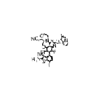 C[C@H]1CN2CCC[C@@]2(COc2nc3c4c(c(Cl)c(-c5ccc(F)c6sc(N)c(C#N)c56)c(F)c4n2)OCC2C(CC#N)OCCCN32)C1